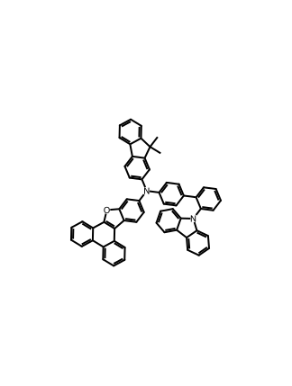 CC1(C)c2ccccc2-c2ccc(N(c3ccc(-c4ccccc4-n4c5ccccc5c5ccccc54)cc3)c3ccc4c(c3)oc3c5ccccc5c5ccccc5c43)cc21